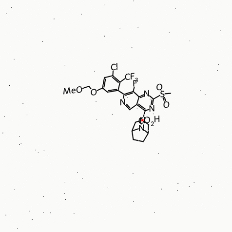 COCOc1cc(Cl)c(C(F)(F)F)c(-c2ncc3c(N4CC5CCC(C4)N5C(=O)O)nc(S(C)(=O)=O)nc3c2F)c1